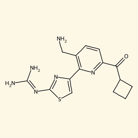 NCc1ccc(C(=O)C2CCC2)nc1-c1csc(N=C(N)N)n1